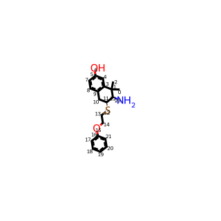 CC1(C)c2cc(O)ccc2C[C@@H](SCCOc2ccccc2)[C@@H]1N